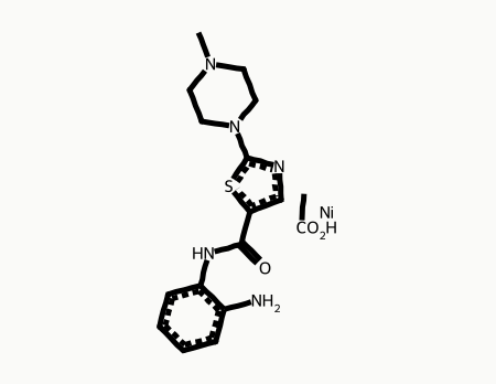 CC(=O)O.CN1CCN(c2ncc(C(=O)Nc3ccccc3N)s2)CC1.[Ni]